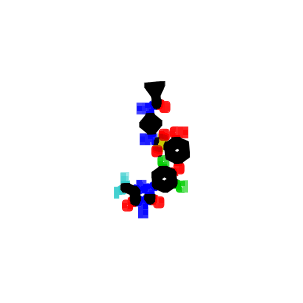 O=C(NC12CC(NS(=O)(=O)c3cc(Oc4c(Cl)cc(-n5nc(C(F)F)c(=O)[nH]c5=O)cc4Cl)ccc3O)(C1)C2)C1CC1